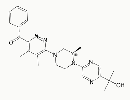 Cc1c(C(=O)c2ccccc2)nnc(N2CCN(c3cnc(C(C)(C)O)cn3)[C@H](C)C2)c1C